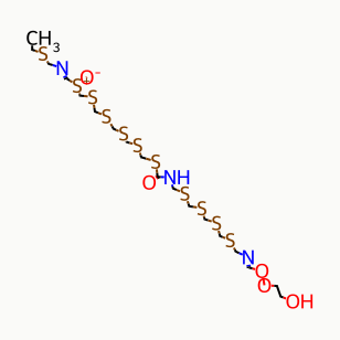 CCSC/N=C/[S+]([O-])CSCSCSCSCSC(=O)NCSCSCSCSC/N=C/OOCCO